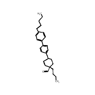 CCCCCc1ccc(-c2ccc(C3CCC(C=O)(CCCC)CC3)cc2)cc1